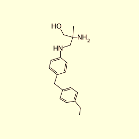 CCc1ccc(Cc2ccc(NCC(C)(N)CO)cc2)cc1